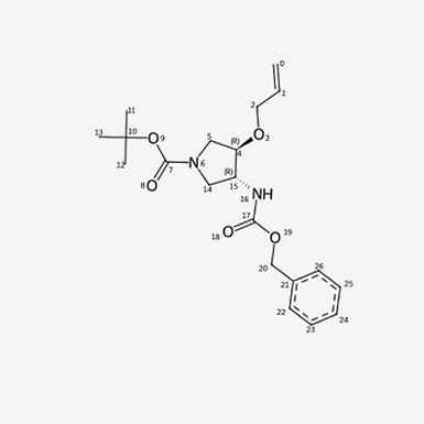 C=CCO[C@@H]1CN(C(=O)OC(C)(C)C)C[C@H]1NC(=O)OCc1ccccc1